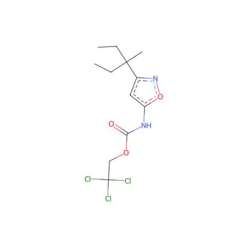 CCC(C)(CC)c1cc(NC(=O)OCC(Cl)(Cl)Cl)on1